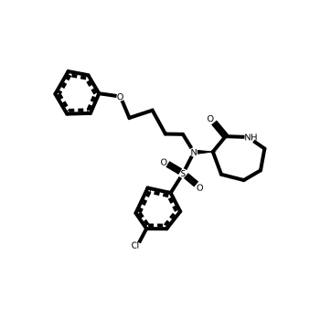 O=C1NCCCC[C@H]1N(CCCCOc1ccccc1)S(=O)(=O)c1ccc(Cl)cc1